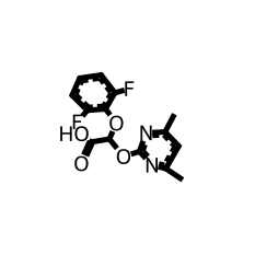 Cc1cc(C)nc(OC(Oc2c(F)cccc2F)C(=O)O)n1